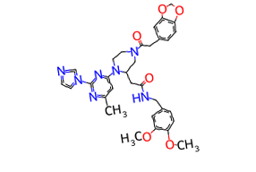 COc1ccc(CNC(=O)CC2CN(C(=O)Cc3ccc4c(c3)OCO4)CCN2c2cc(C)nc(-n3ccnc3)n2)cc1OC